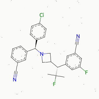 CC(C)(F)[C@@H](c1cc(F)cc(C#N)c1)C1CN([C@H](c2ccc(Cl)cc2)c2cccc(C#N)c2)C1